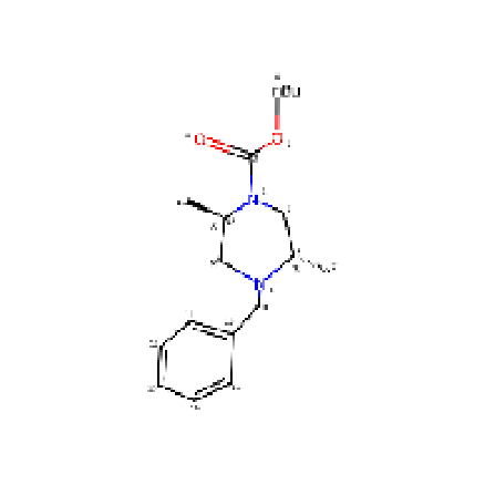 CCCCOC(=O)N1C[C@H](C)N(Cc2ccccc2)C[C@H]1C